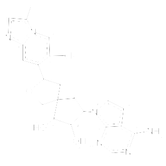 Cc1cnc2cc(C3CC4(CO3)CC(n3ccc5c(N)ncnc53)C(O)C4O)c(Cl)cn12